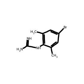 Cc1cc(Br)cc(C)c1NC(=N)N